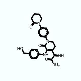 N=C(C(N)=O)C1=C(Nc2ccc(CO)cc2)C(=O)N(c2ccc(N3CCCCC3=O)cc2)CC1